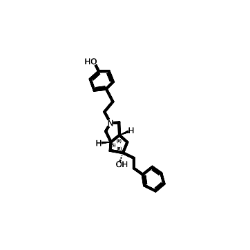 Oc1ccc(CCN2C[C@@H]3C[C@@](O)(CCc4ccccc4)C[C@@H]3C2)cc1